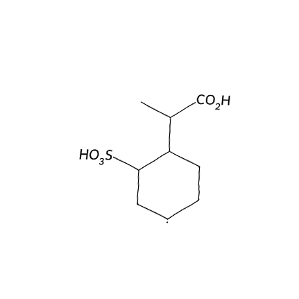 CC(C(=O)O)C1CC[CH]CC1S(=O)(=O)O